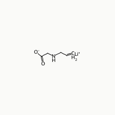 C=CCNCC(=O)[O-].[Li+]